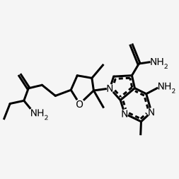 C=C(N)c1cn(C2(C)OC(CCC(=C)C(N)CC)CC2C)c2nc(C)nc(N)c12